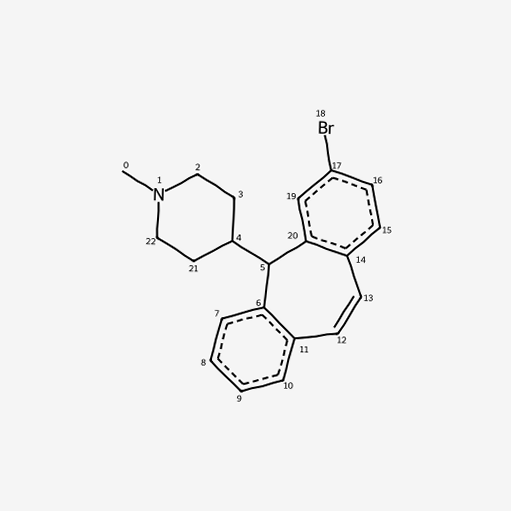 CN1CCC(C2c3ccccc3C=Cc3ccc(Br)cc32)CC1